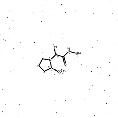 CC(C)[C@@H](C(=O)NC(C)(C)C)N1CCC[C@@H]1C(=O)O